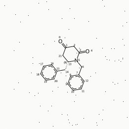 O=C1CC(=O)N(Cc2ccccc2)[C@H](Cc2ccccc2)C1